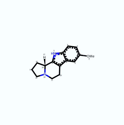 COc1ccc2[nH]c3c(c2c1)CCN1CCC[C@H]31